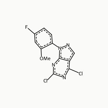 COc1cc(F)ccc1-n1ncc2c(Cl)nc(Cl)nc21